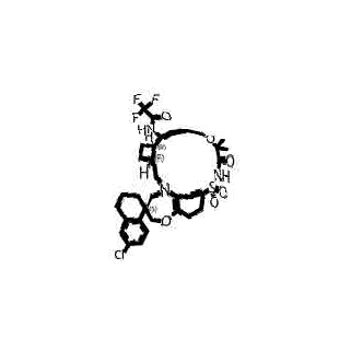 CC1(C)OCC=C=C(NC(=O)C(F)(F)F)[C@@H]2CC[C@H]2CN2C[C@@]3(CCCc4cc(Cl)ccc43)COC3=C2C=C(CC3)S(=O)(=O)NC1=O